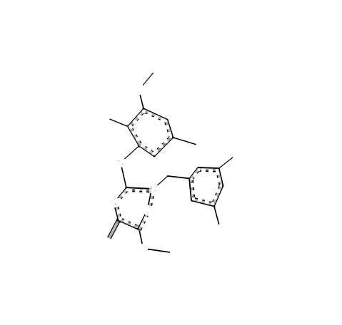 COc1cc(C)cc(Nc2nc(=O)c(OC)cn2Cc2cc(F)cc(F)c2)c1C